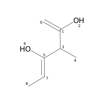 C=C(O)C(C)C(O)=CC